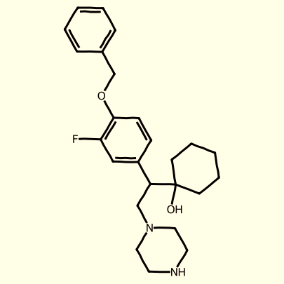 OC1(C(CN2CCNCC2)c2ccc(OCc3ccccc3)c(F)c2)CCCCC1